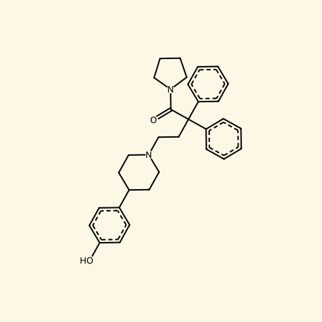 O=C(N1CCCC1)C(CCN1CCC(c2ccc(O)cc2)CC1)(c1ccccc1)c1ccccc1